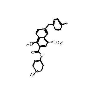 CC(=O)N1CCC(OC(=O)c2cc(C(=O)O)c3cc(Cc4ccc(F)cc4)cnc3c2O)CC1